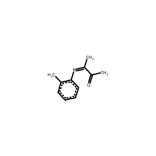 CC(=O)C(C)=Nc1ccccc1C